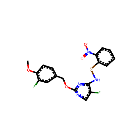 COc1ccc(COc2ncc(F)c(NSc3ccccc3[N+](=O)[O-])n2)cc1F